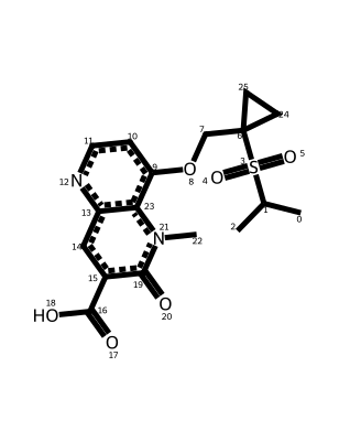 CC(C)S(=O)(=O)C1(COc2ccnc3cc(C(=O)O)c(=O)n(C)c23)CC1